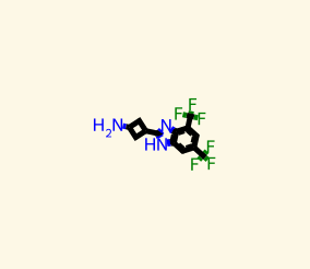 NC1CC(c2nc3c(C(F)(F)F)cc(C(F)(F)F)cc3[nH]2)C1